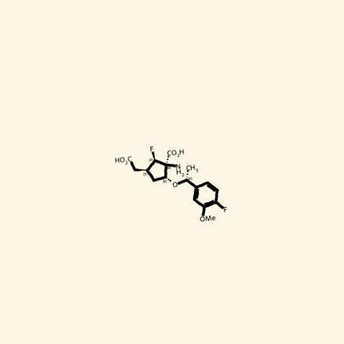 COc1cc([C@@H](C)O[C@@H]2C[C@@H](CC(=O)O)[C@@H](F)[C@]2(N)C(=O)O)ccc1F